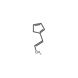 CC=CC1=CC=CC1